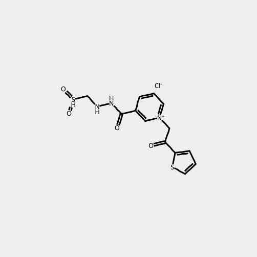 O=C(NNC[SH](=O)=O)c1ccc[n+](CC(=O)c2cccs2)c1.[Cl-]